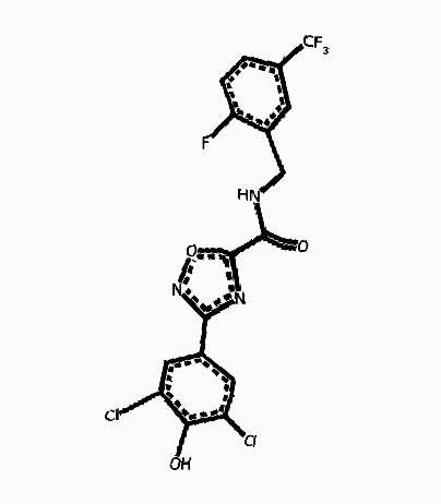 O=C(NCc1cc(C(F)(F)F)ccc1F)c1nc(-c2cc(Cl)c(O)c(Cl)c2)no1